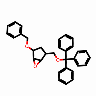 c1ccc(COC2CC(COC(c3ccccc3)(c3ccccc3)c3ccccc3)C3OC23)cc1